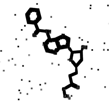 COC(=O)CC[C@@H]1C[C@@H](O)[C@H](n2cnc3c(NC(=O)c4ccccc4)ncnc32)O1